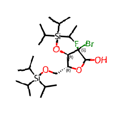 CC(C)[Si](OC[C@H]1OC(O)[C@@](F)(Br)[C@@H]1O[Si](C(C)C)(C(C)C)C(C)C)(C(C)C)C(C)C